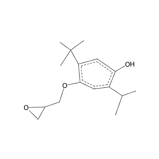 CC(C)c1cc(OCC2CO2)c(C(C)(C)C)cc1O